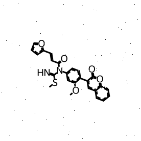 COc1cc(N(C(=N)SC)C(=O)/C=C/c2ccco2)ccc1-c1cc2ccccc2oc1=O